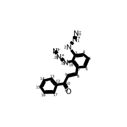 [N-]=[N+]=Nc1cccc(C=CC(=O)c2ccccc2)c1N=[N+]=[N-]